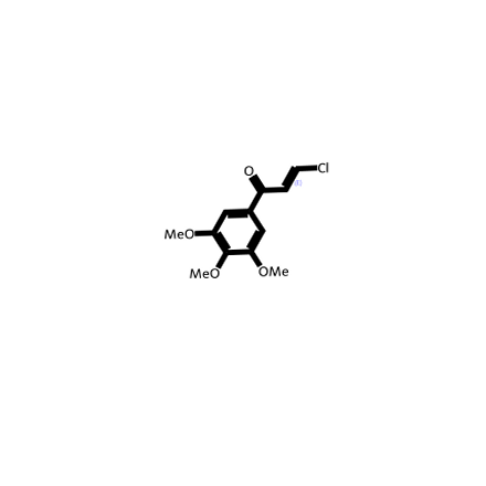 COc1cc(C(=O)/C=C/Cl)cc(OC)c1OC